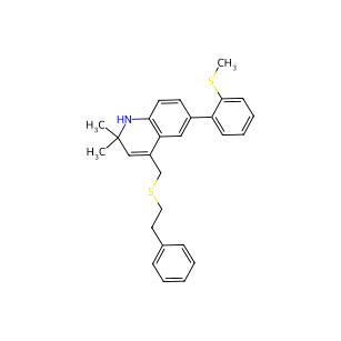 CSc1ccccc1-c1ccc2c(c1)C(CSCCc1ccccc1)=CC(C)(C)N2